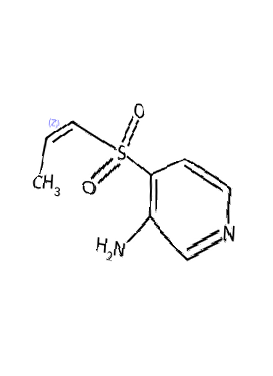 C/C=C\S(=O)(=O)c1ccncc1N